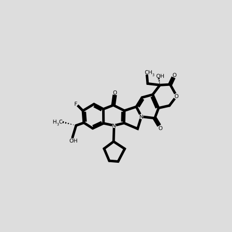 CC[C@@]1(O)C(=O)OCc2c1cc1n(c2=O)Cc2c-1c(=O)c1cc(F)c([C@@H](C)O)cc1n2C1CCCC1